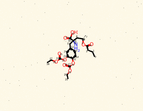 CCCC(=O)O[C@@H](C)CC(N)(Cc1ccc(OC(=O)OCC)c(OC(=O)OCC)c1)C(=O)O